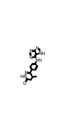 CC1CC(=O)NN=C1c1ccc(Nc2ncnc3nc[nH]c23)cc1